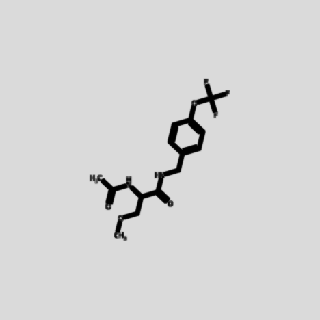 COCC(NC(C)=O)C(=O)NCc1ccc(OC(F)(F)F)cc1